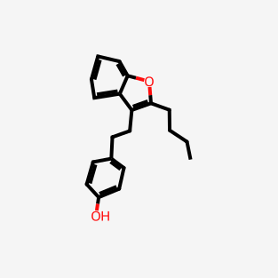 CCCCc1oc2ccccc2c1CCc1ccc(O)cc1